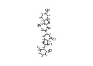 CC(C)n1c(NC(=O)c2cc(Cl)c3[nH]c(-c4c(F)cccc4Cl)nc3c2)nc2cc(O)ccc21